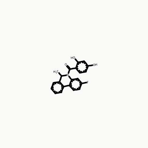 CC1c2ccccc2-c2ccc(F)cc2N1C(=O)c1ccc(O)cc1O